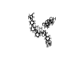 Cc1cnn(-c2ccc(N3CCC[C@H](N[C@@H]4CCCC[C@H]4Nc4ncc(-c5ccc(OC(F)(F)F)cc5)o4)C3)cc2)c1.O=C(O)C(F)(F)F.O=C(O)C(F)(F)F